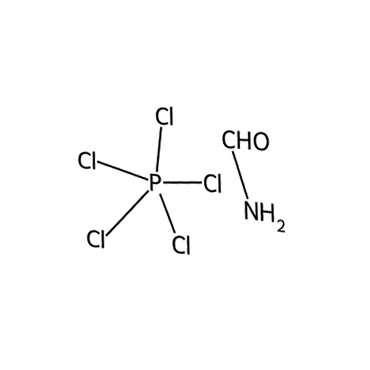 ClP(Cl)(Cl)(Cl)Cl.NC=O